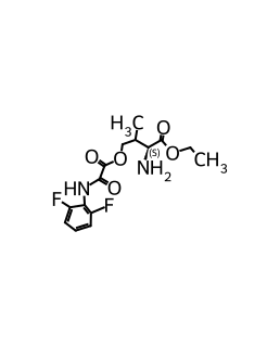 CCOC(=O)[C@@H](N)C(C)COC(=O)C(=O)Nc1c(F)cccc1F